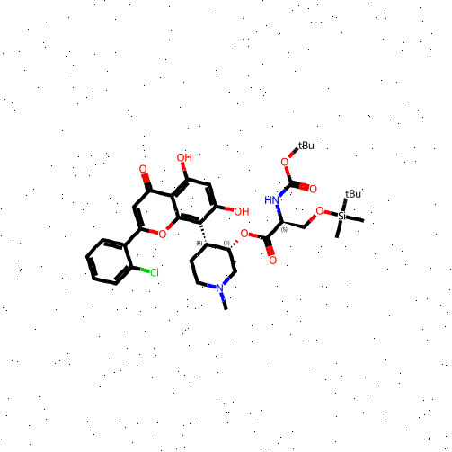 CN1CC[C@H](c2c(O)cc(O)c3c(=O)cc(-c4ccccc4Cl)oc23)[C@H](OC(=O)[C@H](CO[Si](C)(C)C(C)(C)C)NC(=O)OC(C)(C)C)C1